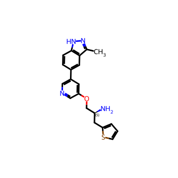 Cc1n[nH]c2ccc(-c3cncc(OC[C@@H](N)Cc4cccs4)c3)cc12